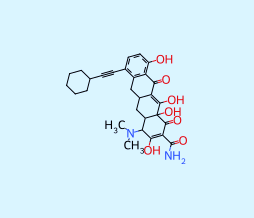 CN(C)C1C(O)=C(C(N)=O)C(=O)C2(O)C(O)=C3C(=O)c4c(O)ccc(C#CC5CCCCC5)c4CC3CC12